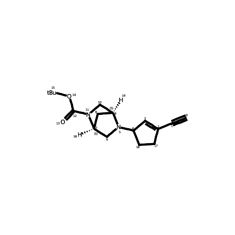 C#CC1=CC(N2C[C@@H]3C[C@H]2CN3C(=O)OC(C)(C)C)CC1